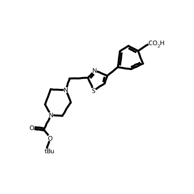 CC(C)(C)OC(=O)N1CCN(Cc2nc(-c3ccc(C(=O)O)cc3)cs2)CC1